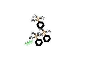 CC(C)S(c1ccccc1)(C(C)C)C(C)C.CC(C)S(c1ccccc1)(C(C)C)C(C)C.CC(C)S(c1ccccc1)(C(C)C)C(C)C.F.F.F